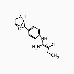 CC/C(Cl)=C(\N)Nc1ccc(C2OC3CNC2C3)cc1